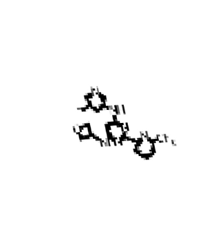 Fc1cncc(Nc2cc(NC3COC3)nc(-c3cccc(C(F)(F)F)n3)n2)c1